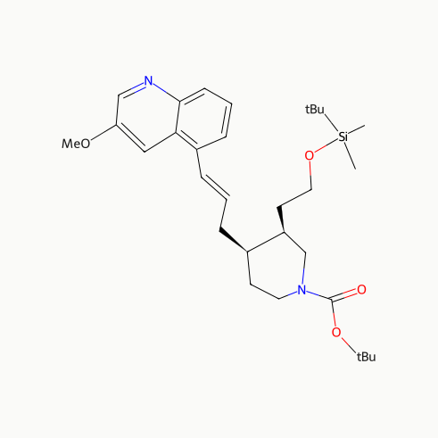 COc1cnc2cccc(/C=C/C[C@@H]3CCN(C(=O)OC(C)(C)C)C[C@@H]3CCO[Si](C)(C)C(C)(C)C)c2c1